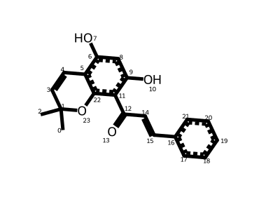 CC1(C)C=Cc2c(O)cc(O)c(C(=O)C=Cc3ccccc3)c2O1